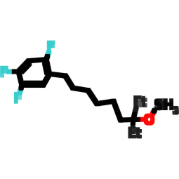 CCC(CC)(CCCCCCc1cc(F)c(F)cc1F)O[SiH3]